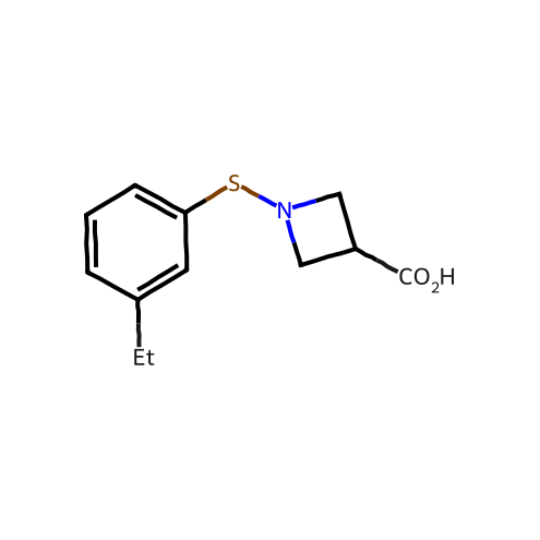 CCc1cccc(SN2CC(C(=O)O)C2)c1